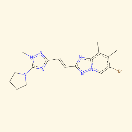 Cc1c(Br)cn2nc(C=Cc3nc(N4CCCC4)n(C)n3)nc2c1C